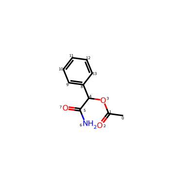 CC(=O)OC(C(N)=O)c1ccccc1